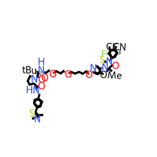 COc1cc(OCCCCCOCCCOCC(=O)N[C@H](C(=O)N2CCCC2C(=O)NCc2ccc(-c3scnc3C)cc2)C(C)(C)C)ncc1N1C(=S)N(c2ccc(C#N)c(C(F)(F)F)c2F)C(=O)C1(C)C